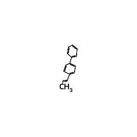 C/C=C/c1ccc(-c2ccccc2)cc1